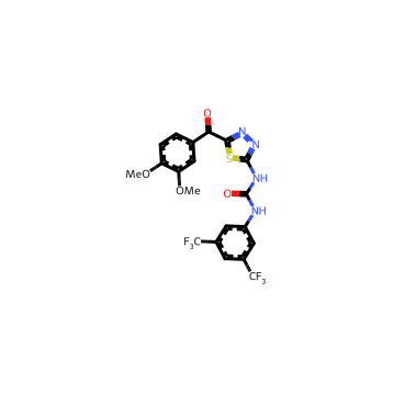 COc1ccc(C(=O)c2nnc(NC(=O)Nc3cc(C(F)(F)F)cc(C(F)(F)F)c3)s2)cc1OC